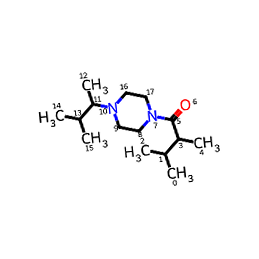 CC(C)C(C)C(=O)N1CCN(C(C)C(C)C)CC1